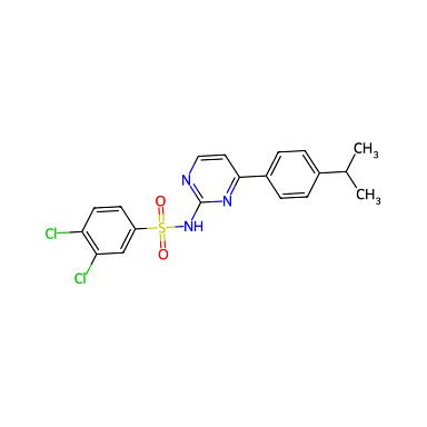 CC(C)c1ccc(-c2ccnc(NS(=O)(=O)c3ccc(Cl)c(Cl)c3)n2)cc1